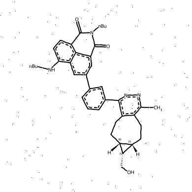 CCCCNc1ccc2c3c(cc(-c4cccc(-c5nnc(C)c6c5CC[C@H]5[C@@H](CO)[C@H]5CC6)c4)cc13)C(=O)N(CCCC)C2=O